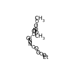 CCOc1ccc(OCCOc2ccc(CN3CCN(C(=O)/C=C/c4cc(C)c(Oc5ccc(OCc6ccc(C)cc6)cn5)c(Cl)c4)CC3)cc2)cc1